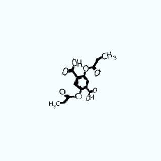 CCC(=O)Oc1cc(C(=O)O)c(OC(=O)CC)cc1C(=O)O